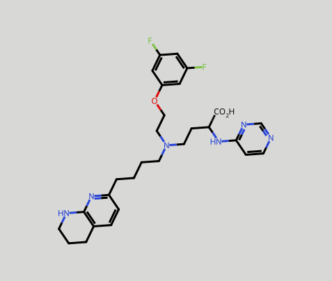 O=C(O)C(CCN(CCCCc1ccc2c(n1)NCCC2)CCOc1cc(F)cc(F)c1)Nc1ccncn1